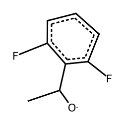 CC([O])c1c(F)cccc1F